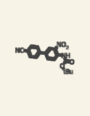 CC(C)(C)OC(=O)Nc1ccc(-c2ccc(C#N)cc2)cc1[N+](=O)[O-]